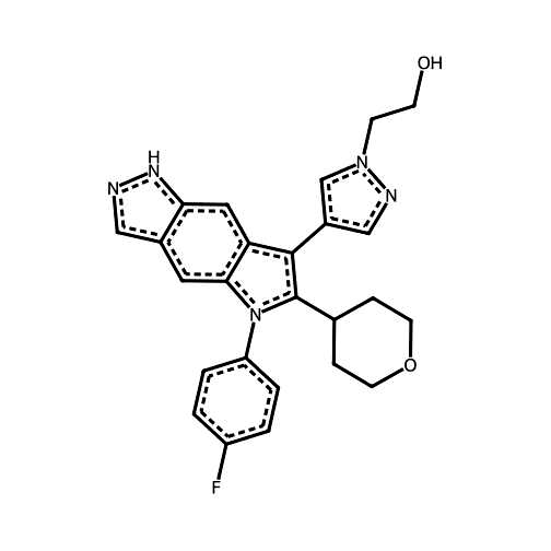 OCCn1cc(-c2c(C3CCOCC3)n(-c3ccc(F)cc3)c3cc4cn[nH]c4cc23)cn1